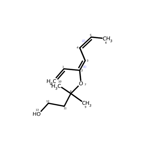 C=C/C(=C\C=C/C)OC(C)(C)CCO